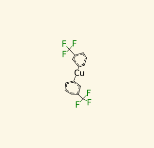 FC(F)(F)c1ccc[c]([Cu][c]2cccc(C(F)(F)F)c2)c1